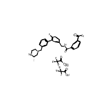 CCC(=O)c1cccc(C(=O)NCc2ccc(F)c(-c3cccc(CN4CCN[C@@H](C)C4)c3)c2)c1.O=C(O)C(F)(F)F.O=C(O)C(F)(F)F